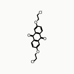 O=C1c2ccc(OCCCl)cc2C(=O)c2ccc(OCCCl)cc21